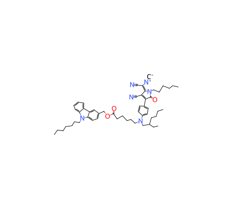 [C-]#[N+]/C(C#N)=C1/C(C#N)=C(c2ccc(N(CCCCCC(=O)OCc3ccc4c(c3)c3ccccc3n4CCCCCCC)CC(CC)CCCC)cc2)C(=O)N1CCCCCC